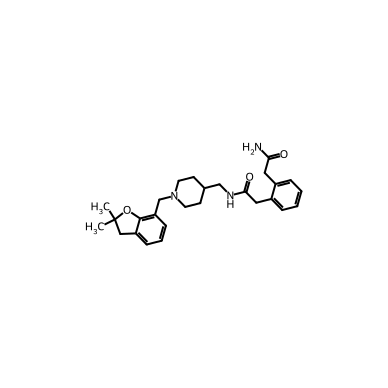 CC1(C)Cc2cccc(CN3CCC(CNC(=O)Cc4ccccc4CC(N)=O)CC3)c2O1